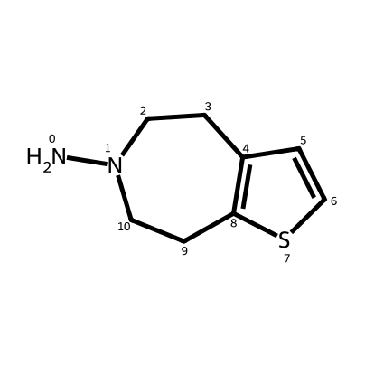 NN1CCc2ccsc2CC1